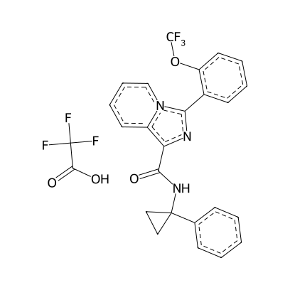 O=C(NC1(c2ccccc2)CC1)c1nc(-c2ccccc2OC(F)(F)F)n2ccccc12.O=C(O)C(F)(F)F